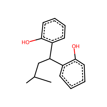 CC(C)CC(c1ccccc1O)c1ccccc1O